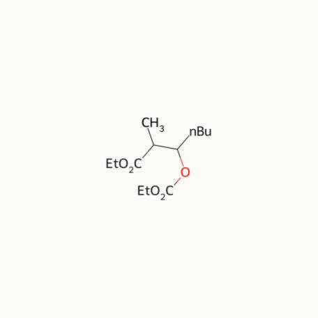 CCCCC(OC(=O)OCC)C(C)C(=O)OCC